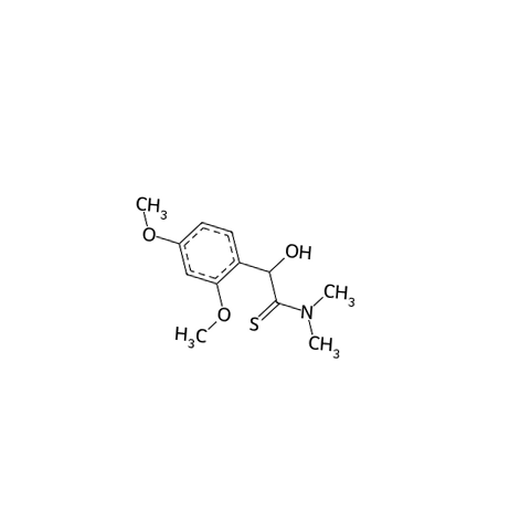 COc1ccc(C(O)C(=S)N(C)C)c(OC)c1